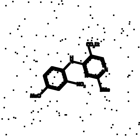 CCOC(=O)c1cnc(SC)nc1Nc1ccc(OC)cc1[N+](=O)[O-]